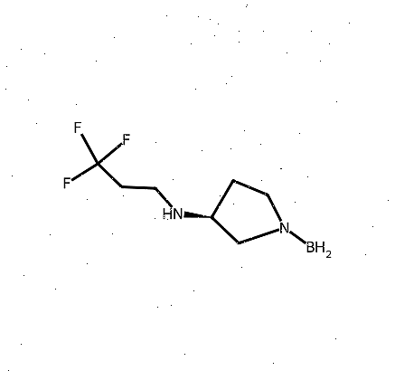 BN1CC[C@H](NCCC(F)(F)F)C1